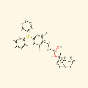 Cc1cc([S+](c2ccccc2)c2ccccc2)cc(C)c1CCC(=O)OC1(C)C2CC3CC(C2)CC1C3